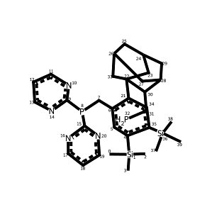 C[Si](C)(C)c1cc(CP(c2ncccn2)c2ncccn2)c(C23CC4CC(CC(C4)C2CP)C3)cc1[Si](C)(C)C